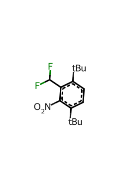 CC(C)(C)c1ccc(C(C)(C)C)c([N+](=O)[O-])c1C(F)F